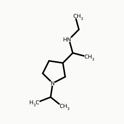 CCNC(C)C1CCN(C(C)C)C1